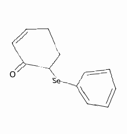 O=C1C=CCCC1[Se]c1ccccc1